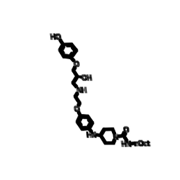 CCCCCCCCNC(=O)N1CCC(Nc2ccc(OCCNC[C@H](O)COc3ccc(O)cc3)cc2)CC1